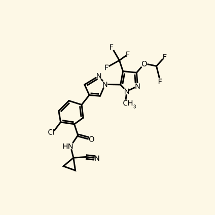 Cn1nc(OC(F)F)c(C(F)(F)F)c1-n1cc(-c2ccc(Cl)c(C(=O)NC3(C#N)CC3)c2)cn1